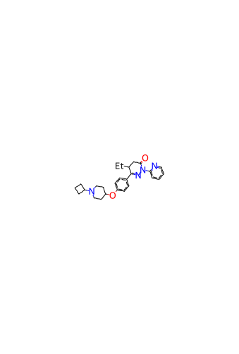 CCC1CC(=O)N(c2ccccn2)N=C1c1ccc(OC2CCN(C3CCC3)CC2)cc1